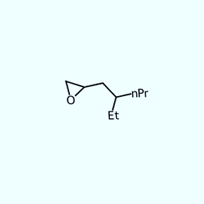 CCCC(CC)CC1CO1